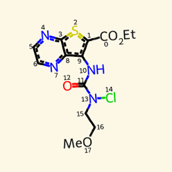 CCOC(=O)c1sc2nccnc2c1NC(=O)N(Cl)CCOC